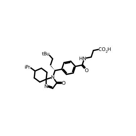 CC(C)C1CCC2(CC1)N=CC(=O)N2[C@H](CCC(C)(C)C)c1ccc(C(=O)NCCC(=O)O)cc1